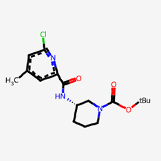 Cc1cc(Cl)nc(C(=O)N[C@H]2CCCN(C(=O)OC(C)(C)C)C2)c1